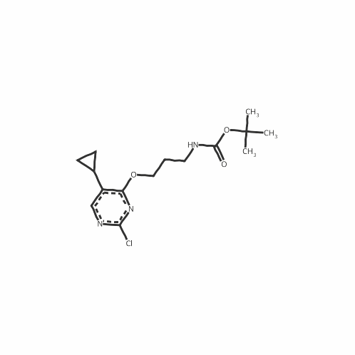 CC(C)(C)OC(=O)NCCCOc1nc(Cl)ncc1C1CC1